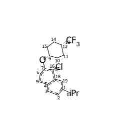 CC(C)c1ccc2ccc(O[C@H]3CC[C@@H](C(F)(F)F)CC3)c(Cl)c2c1